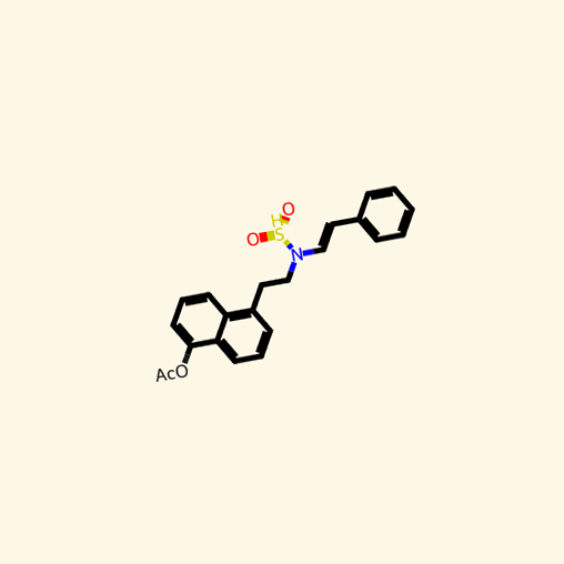 CC(=O)Oc1cccc2c(CCN(C=Cc3ccccc3)[SH](=O)=O)cccc12